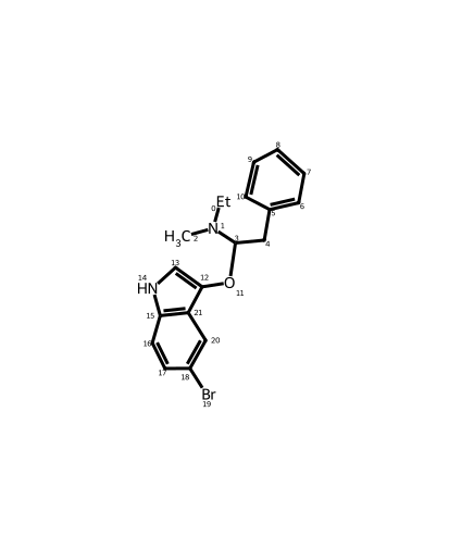 CCN(C)C(Cc1ccccc1)Oc1c[nH]c2ccc(Br)cc12